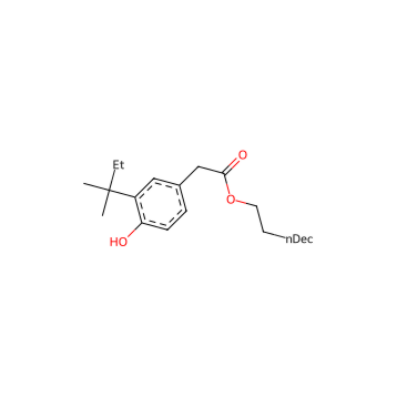 CCCCCCCCCCCCOC(=O)Cc1ccc(O)c(C(C)(C)CC)c1